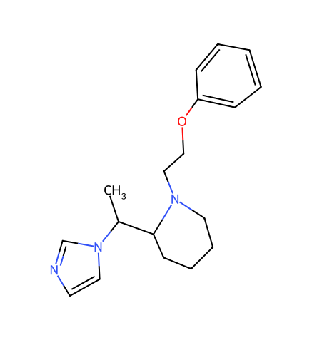 CC(C1CCCCN1CCOc1ccccc1)n1ccnc1